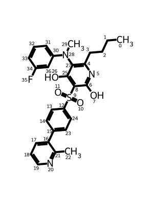 CCCCc1nc(O)c(S(=O)(=O)c2ccc(-c3cccnc3C)cc2)c(O)c1N(C)c1cccc(F)c1